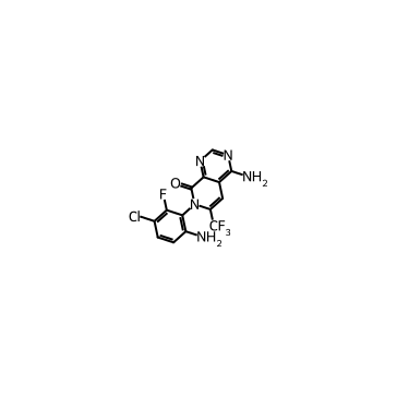 Nc1ccc(Cl)c(F)c1-n1c(C(F)(F)F)cc2c(N)ncnc2c1=O